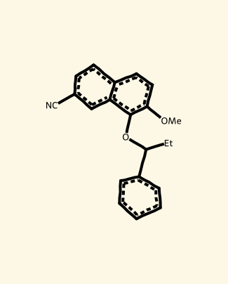 CCC(Oc1c(OC)ccc2ccc(C#N)cc12)c1ccccc1